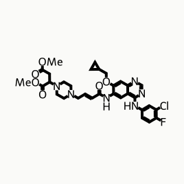 COC(=O)CC(C(=O)OC)N1CCN(C/C=C/C(=O)Nc2cc3c(Nc4ccc(F)c(Cl)c4)ncnc3cc2OCC2CC2)CC1